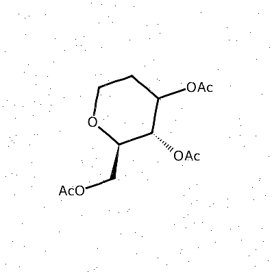 CC(=O)OC[C@H]1OCCC(OC(C)=O)[C@@H]1OC(C)=O